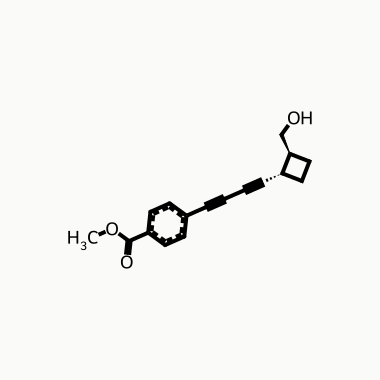 COC(=O)c1ccc(C#CC#C[C@H]2CC[C@@H]2CO)cc1